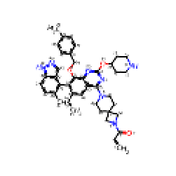 C=CC(=O)N1CC2(CCN(c3nc(OC4CCNCC4)nc4c(OCc5ccc(C)cc5)c(-c5c(C)ccc6[nH]ncc56)c(C=C)cc34)CC2)C1